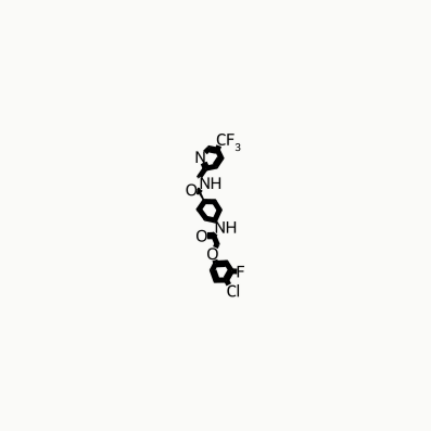 O=C(COc1ccc(Cl)c(F)c1)N[C@H]1CC[C@H](C(=O)NCc2ccc(C(F)(F)F)cn2)CC1